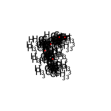 CCN(CC)[P+](N(CC)CC)(N(CC)CC)N(CC)CC.CCN(CC)[P+](N(CC)CC)(N(CC)CC)N(CC)CC.CCN(CC)[P+](N(CC)CC)(N(CC)CC)N(CC)CC.CCN(CC)[P+](N(CC)CC)(N(CC)CC)N(CC)CC.[Br-].[Br-].[Br-].[Br-]